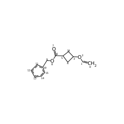 C=COC1CC(C(=O)OCc2ccccc2)C1